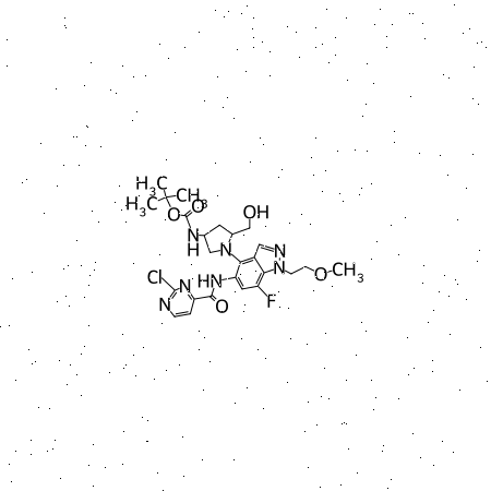 COCCn1ncc2c(N3CC(NC(=O)OC(C)(C)C)CC3CO)c(NC(=O)c3ccnc(Cl)n3)cc(F)c21